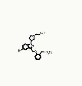 CCOC(=O)Cc1ccccc1OCc1nn(C2CCN(CCO)C2)c2ccc(Br)cc12